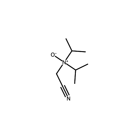 CC(C)[N+]([O-])(CC#N)C(C)C